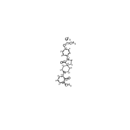 C[C@H](Oc1ccc(N2CCC3(CCN(c4cccn(C)c4=O)CC3)C2=O)cc1)C(F)(F)F